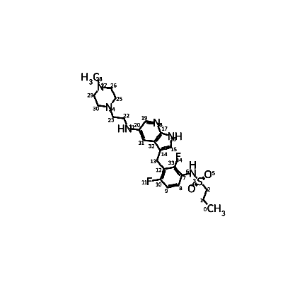 CCCS(=O)(=O)Nc1ccc(F)c(Cc2c[nH]c3ncc(NCCN4CCN(C)CC4)cc23)c1F